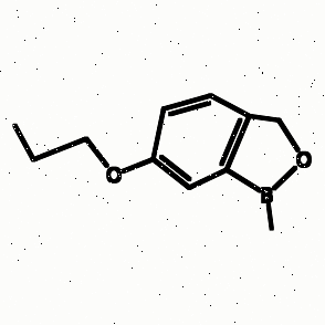 CCCOc1ccc2c(c1)B(C)OC2